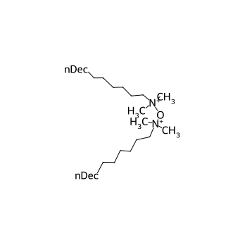 CCCCCCCCCCCCCCCC[N+](C)(C)O[N+](C)(C)CCCCCCCCCCCCCCCC